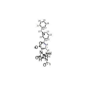 CC(=O)N1C[C@H]2CC(/C=C/c3ccc[n+](Cc4ccccc4)c3)=C(C(=O)[O-])N3C(=O)[C@@H]1[C@@H]23